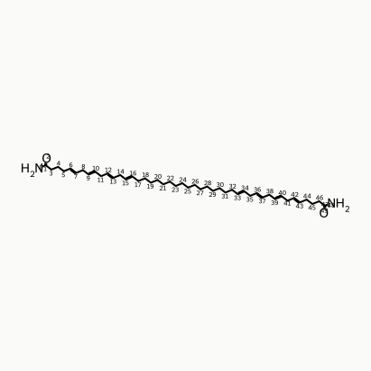 NC(=O)CCCC=CCC=CCC=CCC=CCCCCCCCCCCCCCCCCC=CCC=CCC=CCC=CCCCC(N)=O